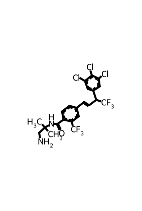 CC(C)(CN)NC(=O)c1ccc(C=CC(c2cc(Cl)c(Cl)c(Cl)c2)C(F)(F)F)cc1C(F)(F)F